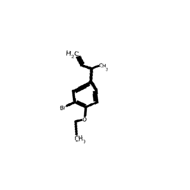 C=C[C](C)c1ccc(OCC)c(Br)c1